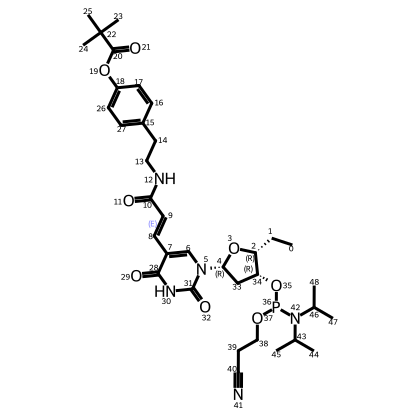 CC[C@H]1O[C@@H](n2cc(/C=C/C(=O)NCCc3ccc(OC(=O)C(C)(C)C)cc3)c(=O)[nH]c2=O)C[C@H]1OP(OCCC#N)N(C(C)C)C(C)C